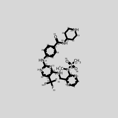 CN(c1nccnc1CNc1nc(Nc2ccc(C(=O)NC3CCNCC3)cc2)ncc1C(F)(F)F)S(C)(=O)=O